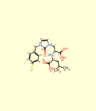 CC(C)C[C@H](N[C@@H](Cn1ccn(Cc2ccc(F)cc2)c1=O)C(=O)O)C(=O)O